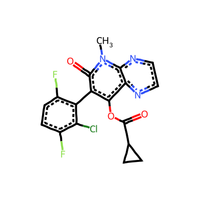 Cn1c(=O)c(-c2c(F)ccc(F)c2Cl)c(OC(=O)C2CC2)c2nccnc21